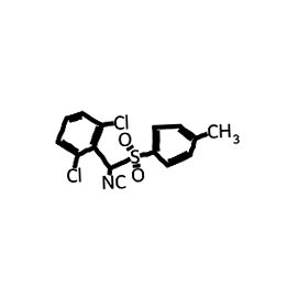 [C-]#[N+]C(c1c(Cl)cccc1Cl)S(=O)(=O)c1ccc(C)cc1